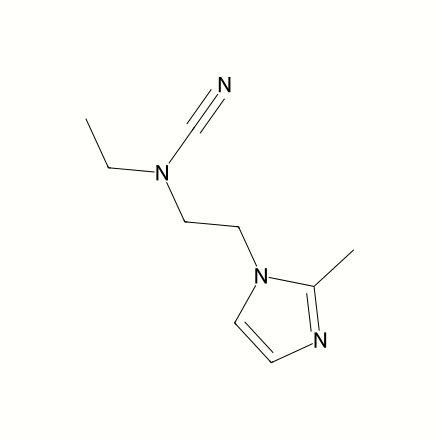 CCN(C#N)CCn1ccnc1C